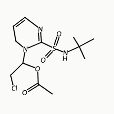 CC(=O)OC(CCl)N1CC=CN=C1S(=O)(=O)NC(C)(C)C